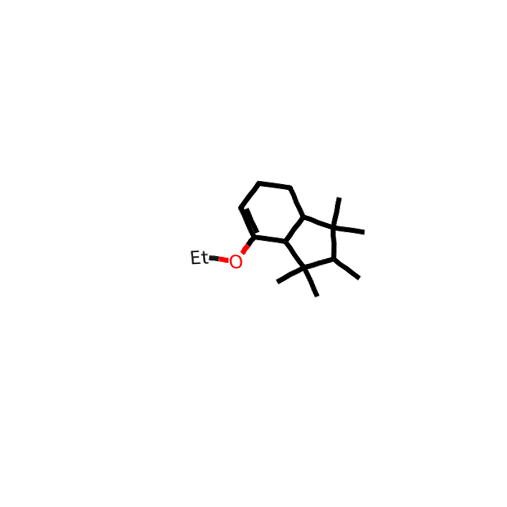 CCOC1=CCCC2C1C(C)(C)C(C)C2(C)C